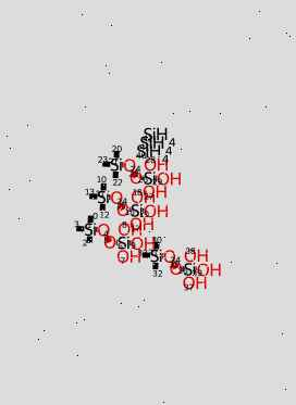 C[Si](C)(C)OO[Si](O)(O)O.C[Si](C)(C)OO[Si](O)(O)O.C[Si](C)(C)OO[Si](O)(O)O.C[Si](C)(C)OO[Si](O)(O)O.[SiH4].[SiH4].[SiH4]